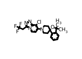 CC1(C)OC2(CCN(c3ccn4c(CC(F)(F)F)nnc4c3Cl)CC2)c2ccccc21